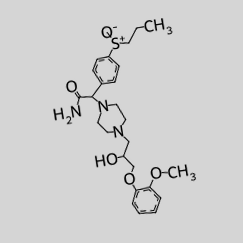 CCC[S+]([O-])c1ccc(C(C(N)=O)N2CCN(CC(O)COc3ccccc3OC)CC2)cc1